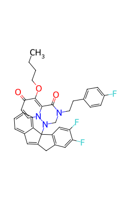 CCCCOc1c2n(ccc1=O)N(C13C(=Cc4ccccc41)Cc1cc(F)c(F)cc13)CN(CCc1ccc(F)cc1)C2=O